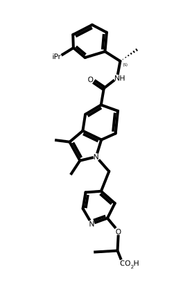 Cc1c(C)n(Cc2ccnc(OC(C)C(=O)O)c2)c2ccc(C(=O)N[C@@H](C)c3cccc(C(C)C)c3)cc12